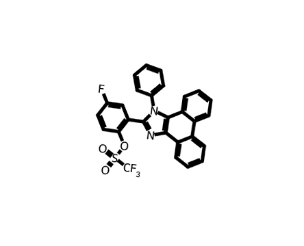 O=S(=O)(Oc1ccc(F)cc1-c1nc2c3ccccc3c3ccccc3c2n1-c1ccccc1)C(F)(F)F